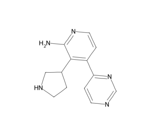 Nc1nccc(-c2ccncn2)c1C1CCNC1